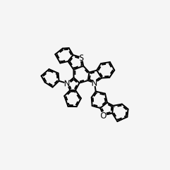 c1ccc(-n2c3ccccc3c3c4c(c5ccccc5n4-c4ccc5oc6ccccc6c5c4)c4sc5ccccc5c4c32)cc1